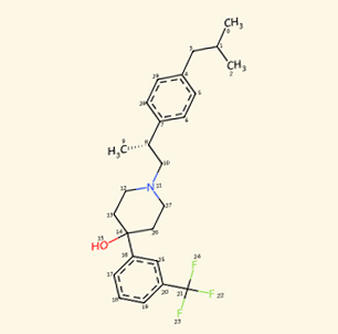 CC(C)Cc1ccc([C@@H](C)CN2CCC(O)(c3cccc(C(F)(F)F)c3)CC2)cc1